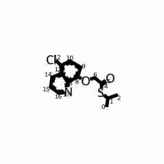 CC(C)SC(=O)COc1ccc(Cl)c2cccnc12